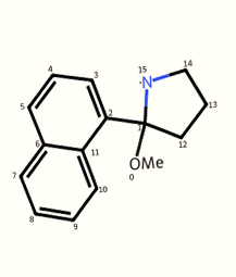 COC1(c2cccc3ccccc23)CCC[N]1